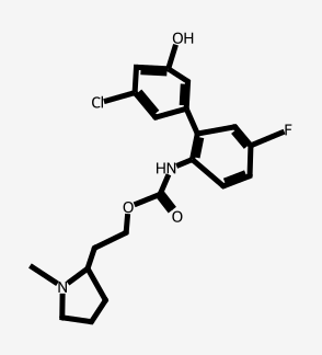 CN1CCCC1CCOC(=O)Nc1ccc(F)cc1-c1cc(O)cc(Cl)c1